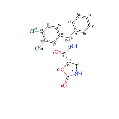 O=C1NC[C@@H](C(=O)N[C@@H](c2ccccc2)c2ccc(Cl)c(Cl)c2)O1